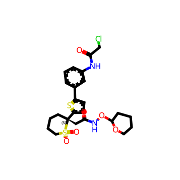 O=C(C[C@]1(c2ccc(-c3cccc(NC(=O)CCl)c3)s2)CCCCS1(=O)=O)NOC1CCCCO1